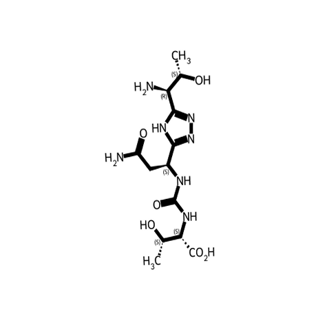 C[C@H](O)[C@H](NC(=O)N[C@@H](CC(N)=O)c1nnc([C@@H](N)[C@H](C)O)[nH]1)C(=O)O